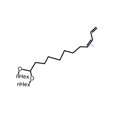 C=C/C=C\CCCCCCCC(OCCCCCC)OCCCCCC